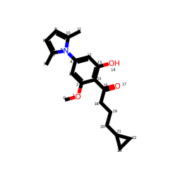 COc1cc(-n2c(C)ccc2C)cc(O)c1C(=O)CCCC1CC1